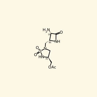 CC(=O)OC[C@@H]1CN(C[C@H]2NC(=O)[C@H]2N)S(=O)(=O)N1